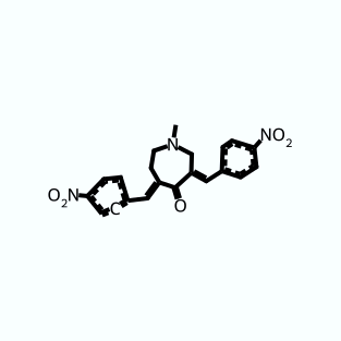 CN1CCC(=Cc2ccc([N+](=O)[O-])cc2)C(=O)C(=Cc2ccc([N+](=O)[O-])cc2)C1